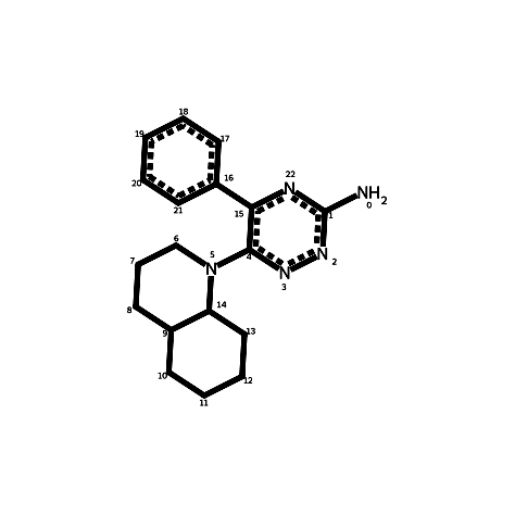 Nc1nnc(N2CCCC3CCCCC32)c(-c2ccccc2)n1